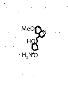 COc1ccc2nccc(CC[C@]3(O)CC[C@H](C(N)=O)CC3)c2c1